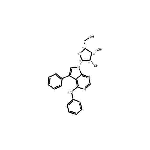 OC[C@H]1O[C@@H](n2cc(-c3ccccc3)c3c(Nc4ccccn4)ncnc32)[C@@H](O)[C@H]1O